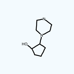 OC1CCCC1N1CC[N]CC1